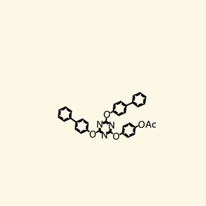 CC(=O)Oc1ccc(Oc2nc(Oc3ccc(-c4ccccc4)cc3)nc(Oc3ccc(-c4ccccc4)cc3)n2)cc1